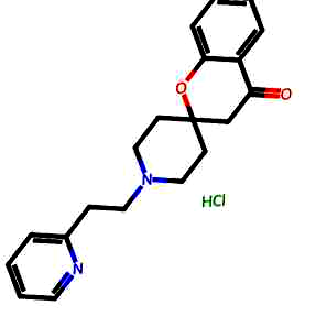 Cl.O=C1CC2(CCN(CCc3ccccn3)CC2)Oc2ccccc21